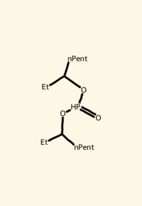 CCCCCC(CC)O[PH](=O)OC(CC)CCCCC